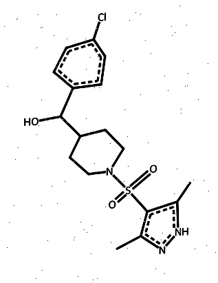 Cc1n[nH]c(C)c1S(=O)(=O)N1CCC(C(O)c2ccc(Cl)cc2)CC1